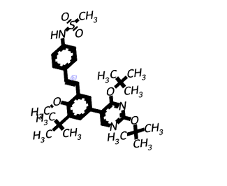 COc1c(/C=C/c2ccc(NS(C)(=O)=O)cc2)cc(-c2cnc(OC(C)(C)C)nc2OC(C)(C)C)cc1C(C)(C)C